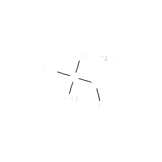 O[Si](O)(O)OF.[NaH]